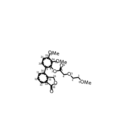 COCCOCC(=O)Oc1c(-c2cccc3c2COC3=O)ccc(OC)c1OC